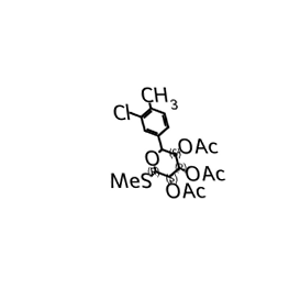 CS[C@H]1OC(c2ccc(C)c(Cl)c2)[C@H](OC(C)=O)[C@@H](OC(C)=O)[C@@H]1OC(C)=O